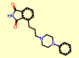 O=C1NC(=O)c2c(CCCN3CCN(c4ccccc4)CC3)cccc21